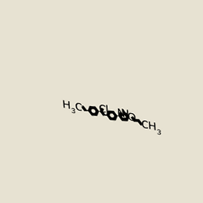 CCCCOc1ccc([C@H]2CC[C@H](CC(Cl)[C@H]3CC[C@H](CCC)CC3)CC2)nn1